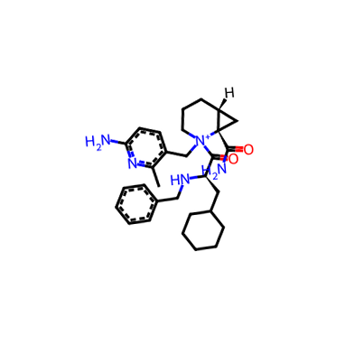 Cc1nc(N)ccc1C[N+]1(C(=O)[C@@H](CC2CCCCC2)NCc2ccccc2)CCC[C@@H]2C[C@@]21C(N)=O